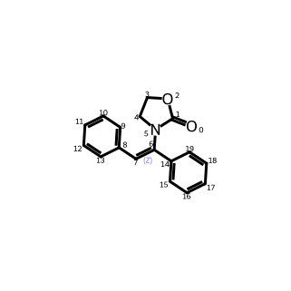 O=C1OCCN1/C(=C\c1ccccc1)c1ccccc1